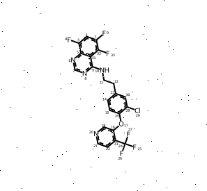 Fc1cc(F)c2ncnc(NCCc3ccc(Oc4cnccc4C(F)(F)F)c(Cl)c3)c2c1F